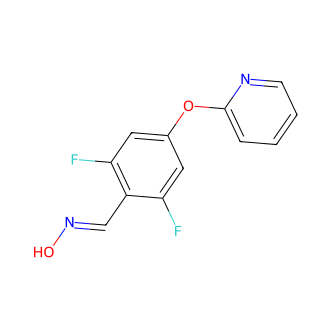 ON=Cc1c(F)cc(Oc2ccccn2)cc1F